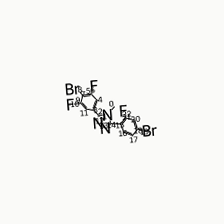 Cn1c(-c2cc(F)c(Br)c(F)c2)nnc1-c1ccc(Br)cc1F